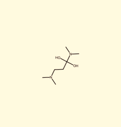 CN(C)CCC(O)(O)N(C)C